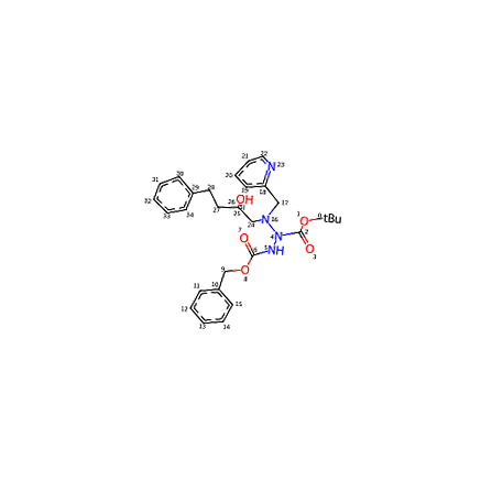 CC(C)(C)OC(=O)N(NC(=O)OCc1ccccc1)N(Cc1ccccn1)C[C@@H](O)CCc1ccccc1